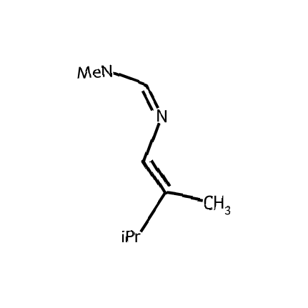 CN/C=N\C=C(/C)C(C)C